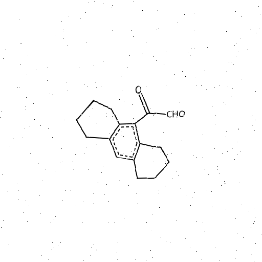 O=CC(=O)c1c2c(cc3c1CCCC3)CCCC2